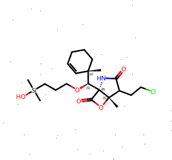 C[C@@]12OC(=O)[C@]1([C@@H](OCCC[Si](C)(C)O)[C@]1(C)C=CCCC1)NC(=O)C2CCCl